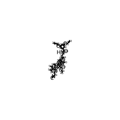 [C-]#[N+]CCOP(OCC(CO[Si](OC(C)(C)CCNC(=O)c1cc(OCC#C)cc(OCC#C)c1)(C(C)C)C(C)C)(C(=O)OCC)C(=O)OCC)N(C(C)C)C(C)C